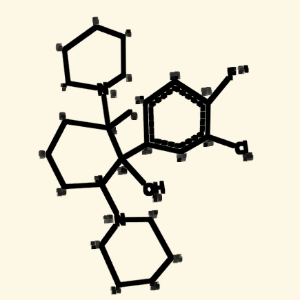 CC1(N2CCCCC2)CCCC(N2CCCCC2)C1(O)c1ccc(F)c(Cl)c1